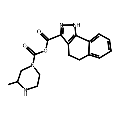 CC1CN(C(=O)OC(=O)c2n[nH]c3c2CCc2ccccc2-3)CCN1